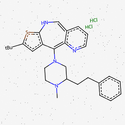 CN1CCN(C2=c3ncccc3=CNc3sc(C(C)(C)C)cc32)CC1CCc1ccccc1.Cl.Cl